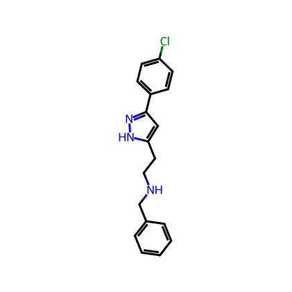 Clc1ccc(-c2cc(CCNCc3ccccc3)[nH]n2)cc1